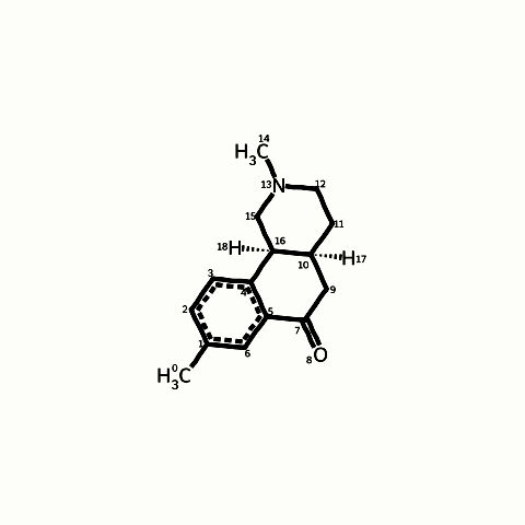 Cc1ccc2c(c1)C(=O)C[C@@H]1CCN(C)C[C@H]21